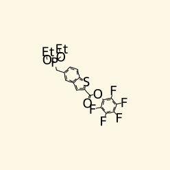 CCOP(Cc1ccc2sc(C(=O)Oc3c(F)c(F)c(F)c(F)c3F)cc2c1)OCC